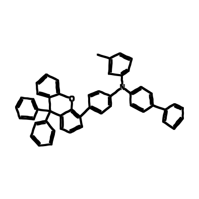 Cc1cccc(N(c2ccc(-c3ccccc3)cc2)c2ccc(-c3cccc4c3Oc3ccccc3C4(c3ccccc3)c3ccccc3)cc2)c1